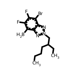 Bc1c(F)c(F)c(Br)c2nn(CC(CC)CCCC)nc12